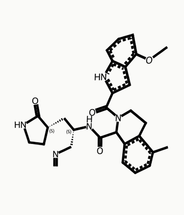 C=NC[C@H](C[C@@H]1CCNC1=O)NC(=O)C1c2cccc(C)c2CCN1C(=O)c1cc2c(OC)cccc2[nH]1